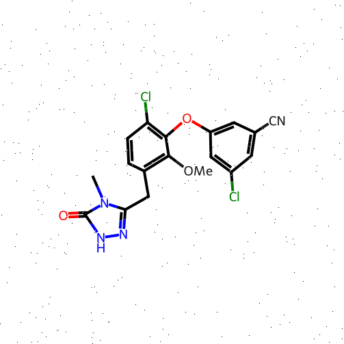 COc1c(Cc2n[nH]c(=O)n2C)ccc(Cl)c1Oc1cc(Cl)cc(C#N)c1